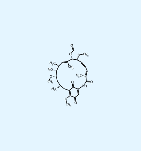 COC1=C2C[C@@H](C)C[C@H](OC)[C@H](O)[C@@H](C)/C=C(\C)[C@H](OC=O)[C@@H](OC)/C=C\C=C(/C)C(=O)NC(=CC1=O)C2=O